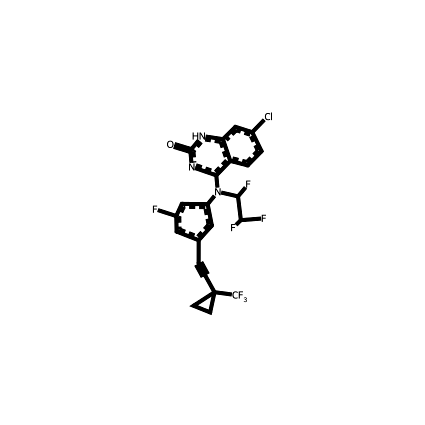 O=c1nc(N(c2cc(F)cc(C#CC3(C(F)(F)F)CC3)c2)C(F)C(F)F)c2ccc(Cl)cc2[nH]1